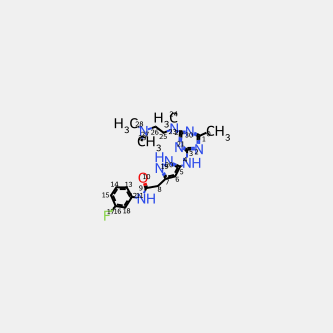 Cc1nc(Nc2cc(CC(=O)Nc3cccc(F)c3)[nH]n2)nc(N(C)CCN(C)C)n1